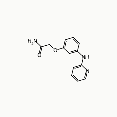 NC(=O)COc1cccc(Nc2ccccn2)c1